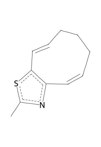 Cc1nc2c(s1)/C=C/CCC/C=C\2